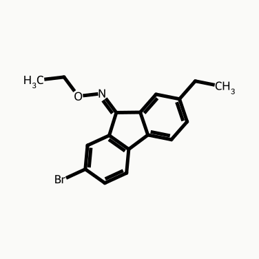 CCO/N=C1\c2cc(Br)ccc2-c2ccc(CC)cc21